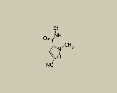 CCNC(=O)C1C=C(C#N)ON1C